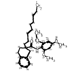 CCCCCCCCCC1(C(=O)Nc2c(OC)cc(OC)cc2OC)CCc2ccccc2C1